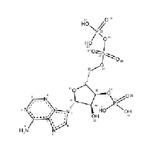 Nc1ncnc2c1ncn2[C@@H]1O[C@H](COS(=O)(=O)OP(=O)(O)O)[C@@H](OP(=O)(O)O)[C@H]1O